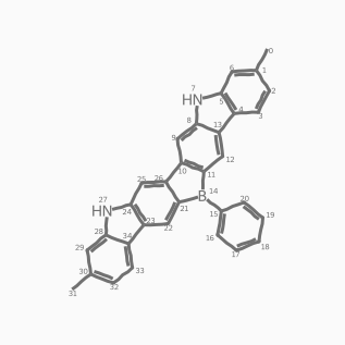 Cc1ccc2c(c1)[nH]c1cc3c(cc12)B(c1ccccc1)c1cc2c(cc1-3)[nH]c1cc(C)ccc12